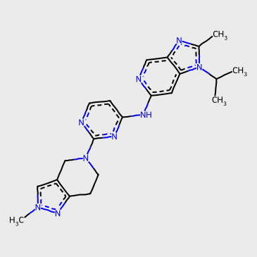 Cc1nc2cnc(Nc3ccnc(N4CCc5nn(C)cc5C4)n3)cc2n1C(C)C